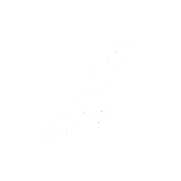 Nc1ccc(Oc2ccnc3cc(-c4ccc(CN5CCCC5=O)cc4)sc23)c(F)c1